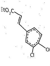 CCOC(=O)C=Cc1ccc(O)c(Cl)c1